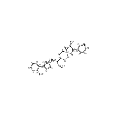 Cl.O=C1O[C@]2(CC[C@H](CNc3ccn(-c4ccccc4F)n3)CC2)CN1c1cccnc1